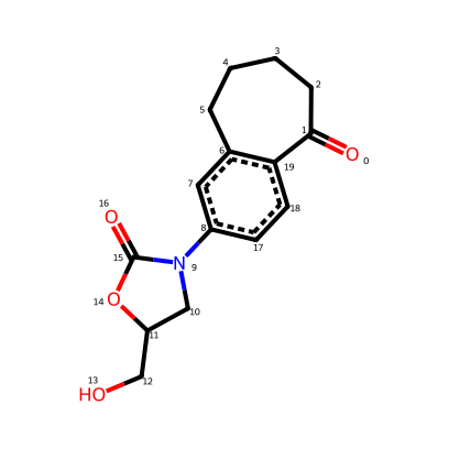 O=C1CCCCc2cc(N3CC(CO)OC3=O)ccc21